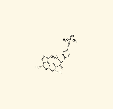 Cc1cc2nc(N)c3cnn(C)c3c2cc1C(=O)N(Cc1ccc(C#CC(C)(C)O)cn1)C1CC1